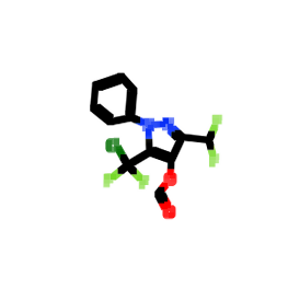 O=COc1c(C(F)F)nn(-c2ccccc2)c1C(F)(F)Cl